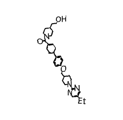 CCc1cnc(N2CCC(COc3ccc(C4CC=C(C(=O)N5CCC(CCO)CC5)CC4)cc3)CC2)nc1